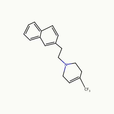 FC(F)(F)C1=CCN(CCc2ccc3ccccc3c2)CC1